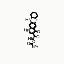 CCCC(=O)ONC(=O)c1c[nH]c2cc(NC3CCCCC3)c(F)cc2c1=O